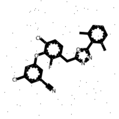 Cc1cccc(C)c1-c1nnc(Cc2ccc(Cl)c(Oc3cc(Cl)cc(C#N)c3)c2F)o1